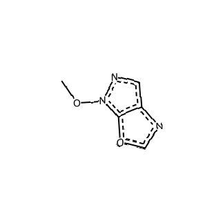 COn1ncc2ncoc21